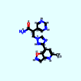 NC(=O)/C(=C/n1cnc(-c2cc(C(F)(F)F)nc3cnoc23)n1)c1cncnc1